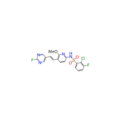 COc1nc(NS(=O)(=O)c2cccc(F)c2Cl)ccc1/C=C/c1cnc(F)nc1